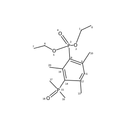 CCOP(=O)(OCC)c1c(C)cc(C)c(P(C)(C)=O)c1C